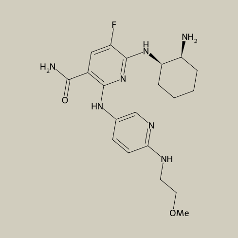 COCCNc1ccc(Nc2nc(N[C@@H]3CCCC[C@@H]3N)c(F)cc2C(N)=O)cn1